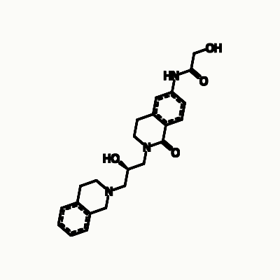 O=C(CO)Nc1ccc2c(c1)CCN(C[C@H](O)CN1CCc3ccccc3C1)C2=O